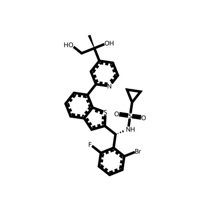 C[C@](O)(CO)c1ccnc(-c2cccc3cc([C@H](NS(=O)(=O)C4CC4)c4c(F)cccc4Br)sc23)c1